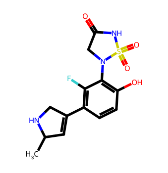 CC1C=C(c2ccc(O)c(N3CC(=O)NS3(=O)=O)c2F)CN1